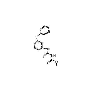 COC(=O)NC(=S)Nc1cccc(Sc2ccccc2)c1